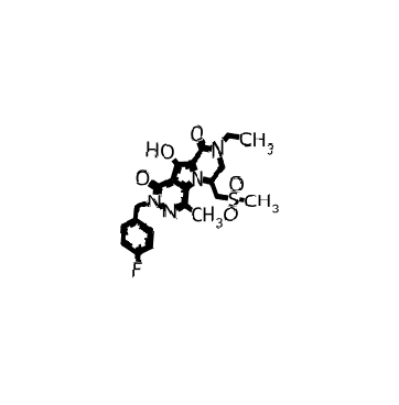 CCN1CC(CS(C)(=O)=O)n2c(c(O)c3c(=O)n(Cc4ccc(F)cc4)nc(C)c32)C1=O